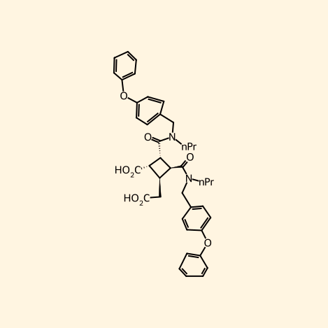 CCCN(Cc1ccc(Oc2ccccc2)cc1)C(=O)[C@H]1[C@@H](C(=O)O)[C@H](CC(=O)O)[C@@H]1C(=O)N(CCC)Cc1ccc(Oc2ccccc2)cc1